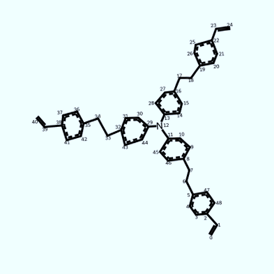 C=Cc1ccc(CCc2ccc(N(c3ccc(CCc4ccc(C=C)cc4)cc3)c3ccc(CCc4ccc(C=C)cc4)cc3)cc2)cc1